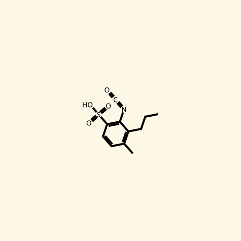 CCCc1c(C)ccc(S(=O)(=O)O)c1N=C=O